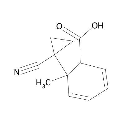 CC1(C2(C#N)CC2)C=CC=CC1C(=O)O